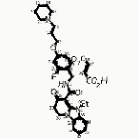 CCN1C2=C(C(=O)NCc3ccc(OCCCN4CCCCC4)cc3F)C(=O)CCN2c2ccccc21.O=C(O)/C=C/C(=O)O